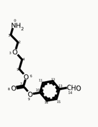 NCCOCCOC(=O)Oc1ccc(C=O)cc1